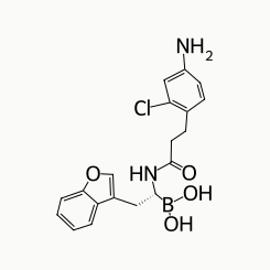 Nc1ccc(CCC(=O)N[C@@H](Cc2coc3ccccc23)B(O)O)c(Cl)c1